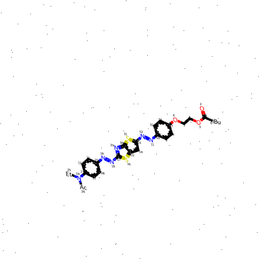 CCC(C)C(=O)OCCOc1ccc(N=Nc2cc3sc(N=Nc4ccc(N(CC)C(C)=O)cc4)nc3s2)cc1